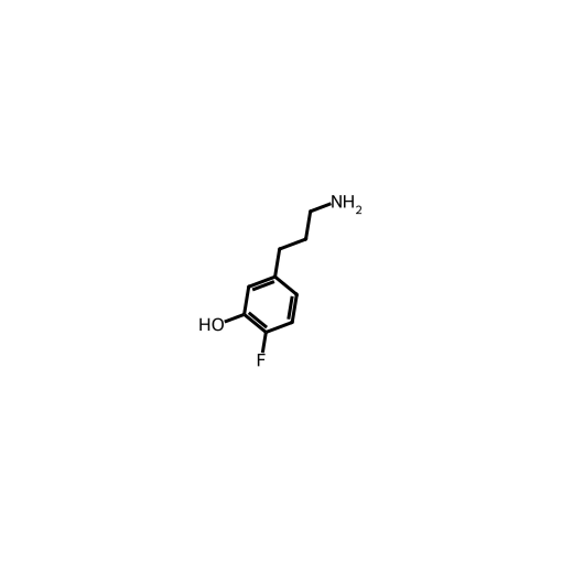 NCCCc1ccc(F)c(O)c1